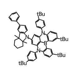 CC(C)(C)c1ccc(N2c3ccc(C(C)(C)C)cc3B3c4cc(C(C)(C)C)ccc4N(c4ccc(C(C)(C)C)cc4)c4cc(N5c6ccc(-c7ccccc7)cc6C6(C)CCCCC56C)cc2c43)cc1